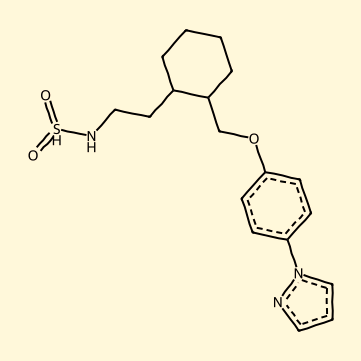 O=[SH](=O)NCCC1CCCCC1COc1ccc(-n2cccn2)cc1